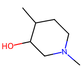 CC1CCN(C)CC1O